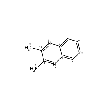 Bc1nc2ccccc2nc1C